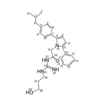 CC(C)Cc1ccc(-c2ccc(-c3ccccc3)n2CC(=O)NC(=N)NCCCO)cc1